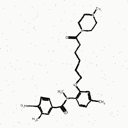 Cc1ccc(N(C)C(=O)c2ccc([N+](=O)[O-])c(C)c2)c(OCCCCCC(=O)N2CCN(C)CC2)c1